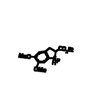 CCOC(=O)C1Cc2cc(OC)c(OC)cc2[SH]1#P